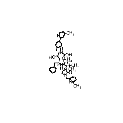 Cc1ccnc(-c2ccc(C[C@H](NC(=O)O)[C@@H](O)C[C@H](Cc3ccccc3)NC(=O)[C@@H](N3CCN(Cc4cccc(C)n4)C3=O)C(C)(C)C)cc2)c1